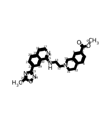 COC(=O)c1ccc2c(c1)CN(CCNc1nccc3ccc(-c4noc(C)n4)cc13)CC2